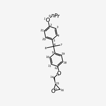 [CH2][CH]COc1ccc(C(C)(C)c2ccc(OC[C@H]3CO3)cc2)cc1